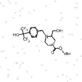 CC(C)(C)OC(=O)N1CCN(Cc2ccc(C(O)(C(F)(F)F)C(F)(F)F)cc2)C(CO)C1